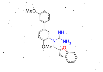 COc1cccc(-c2ccc(OC)c(N(Cc3cc4ccccc4o3)C(=N)N)c2)c1